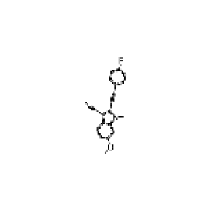 COc1ccc2c(C#N)c(C#Cc3ccc(F)cc3)n(C)c2c1